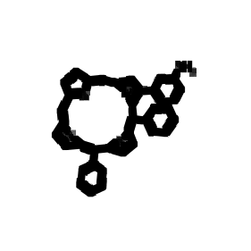 Nc1cccc(-c2cc3cc4nc(cc5ccc([nH]5)c(-c5ccccc5)c5nc(c(-c6ccccc6)c2[nH]3)C=C5)C=C4)c1